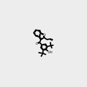 C=CCc1oc2ccccc2c1C(=O)c1cc(C(C)(C)C)c(O)c(C(C)(C)C)c1